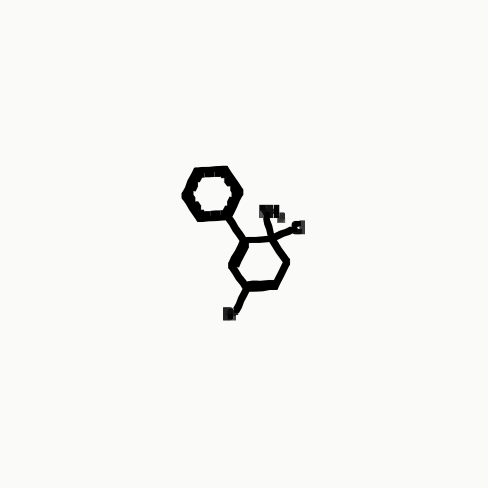 NC1(Cl)CC=C(Br)C=C1c1ccccc1